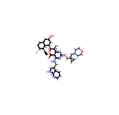 C#Cc1c(F)ccc2cc(O)cc(-c3oc(=O)c4c(NCc5c[nH]c6ncccc56)nc(OCC5(CN6CCOCC6)CC5)nc4c3C)c12